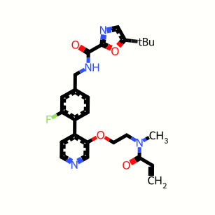 C=CC(=O)N(C)CCOc1cnccc1-c1ccc(CNC(=O)c2ncc(C(C)(C)C)o2)cc1F